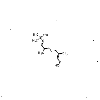 CC(=CCO)CCC=C(C)CO[Si](C)(C)C(C)(C)C